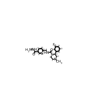 CN1CCN(C(=O)NCc2ccc(C(=O)NN)cn2)C(c2cccc(F)c2)C1